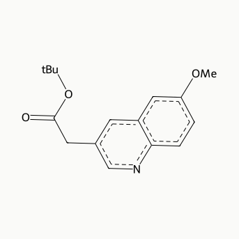 COc1ccc2ncc(CC(=O)OC(C)(C)C)cc2c1